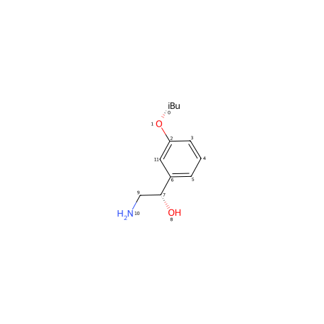 CC[C@@H](C)Oc1cccc([C@H](O)CN)c1